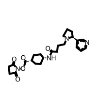 O=C(CCCN1CCC[C@H]1c1cccnc1)N[C@H]1CC[C@@H](C(=O)ON2C(=O)CCC2=O)CC1